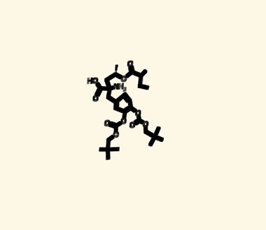 CCC(C)C(=O)O[C@@H](C)CC(N)(Cc1ccc(OC(=O)OCC(C)(C)C)c(OC(=O)OCC(C)(C)C)c1)C(=O)O